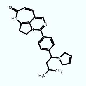 CC(C)CC(c1ccc(C2=NC=C3C=CC(=O)NC4=C3N2CC4)cc1)N1CC=CC1